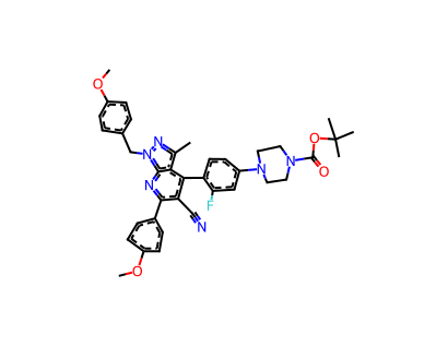 COc1ccc(Cn2nc(C)c3c(-c4ccc(N5CCN(C(=O)OC(C)(C)C)CC5)cc4F)c(C#N)c(-c4ccc(OC)cc4)nc32)cc1